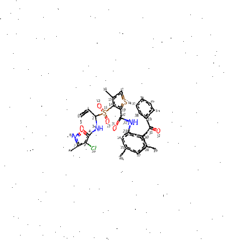 C=CC(Nc1onc(C)c1Cl)S(=O)(=O)c1c(C)csc1C(=O)Nc1cc(C)cc(C)c1C(=O)c1ccccc1